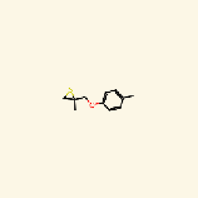 Cc1ccc(OCC2(C)CS2)cc1